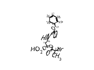 CC(Br)C(=O)OC(CCNC(=O)OCc1ccccc1)C(=O)O